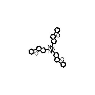 c1ccc2c(c1)oc1c3ccc(-c4nc(-c5ccc6c(ccc7c8ccccc8oc67)c5)nc(-c5ccc6c(ccc7c8ccccc8oc67)c5)n4)cc3ccc21